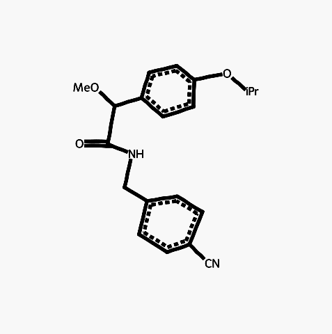 COC(C(=O)NCc1ccc(C#N)cc1)c1ccc(OC(C)C)cc1